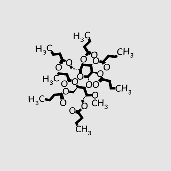 CCCC(=O)OC[C@@H](OC)[C@@H](O[C@@H]1O[C@H](COC(=O)CCC)[C@H](OC(=O)CCC)[C@H](OC(=O)CCC)[C@H]1OC(=O)CCC)[C@@H](COC(=O)CCC)OC(=O)CCC